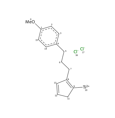 COc1ccc(CCCC2=[C]([Ti+2])CC=C2)cc1.[Cl-].[Cl-]